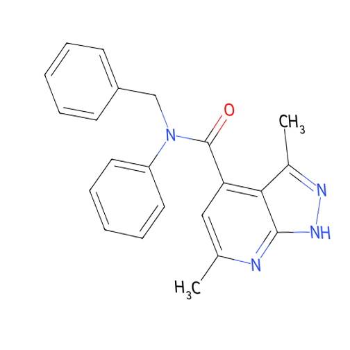 Cc1cc(C(=O)N(Cc2ccccc2)c2ccccc2)c2c(C)n[nH]c2n1